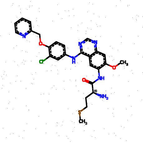 COc1cc2ncnc(Nc3ccc(OCc4ccccn4)c(Cl)c3)c2cc1NC(=O)[C@@H](N)CCSC